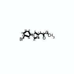 COC(=O)Cc1cn(-c2cccc(Br)c2)cn1